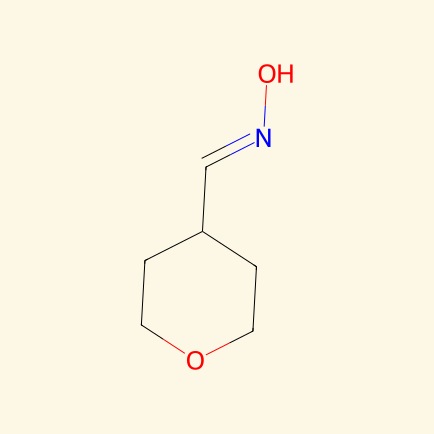 ON=CC1CCOCC1